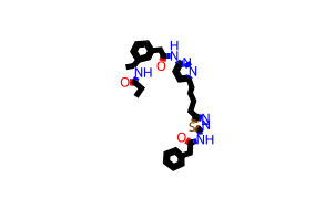 CCC(=O)NC(C)c1cccc(CC(=O)Nc2ccc(CCCCc3nnc(NC(=O)Cc4ccccc4)s3)nn2)c1